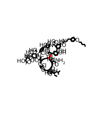 CCCCCOc1ccc(CCNC(=O)Oc2cc(O)c3c(c2)[C@@H](C(=O)O)NC(=O)[C@H]2NC(=O)[C@H](CC(=O)[C@@H]4NC(=O)[C@H](CC(N)=O)CC(=O)[C@H](NC(=O)[C@H](CC)CC(C)C)[C@H](O)c5ccc(c(Cl)c5)Oc5cc4cc(c5O[C@@H]4O[C@H](CO)[C@@H](O)[C@H](O)[C@H]4O[C@H]4C[C@](C)(N)[C@H](O)[C@H](C)O4)Oc4ccc(cc4Cl)[C@H]2O)c2ccc(O)c-3c2)cc1